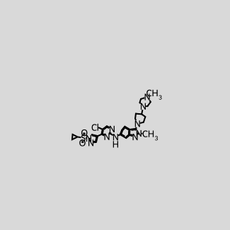 CN1CCN(C2CCN(c3c4ccc(Nc5ncc(Cl)c(-c6cnn(S(=O)(=O)C7CC7)c6)n5)cc4nn3C)CC2)CC1